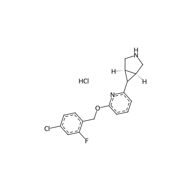 Cl.Fc1cc(Cl)ccc1COc1cccc(C2[C@H]3CNC[C@@H]23)n1